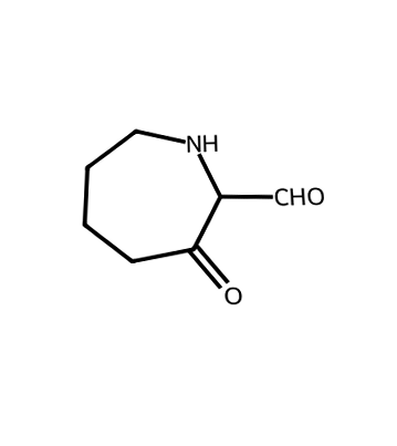 O=CC1NCCCCC1=O